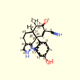 C[C@H]1C(=O)C(C#N)=C[C@]2(c3ccc(O)cc3)c3n[nH]cc3CC[C@H]12